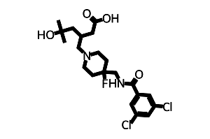 CC(C)(O)CC(CC(=O)O)CN1CCC(F)(CNC(=O)c2cc(Cl)cc(Cl)c2)CC1